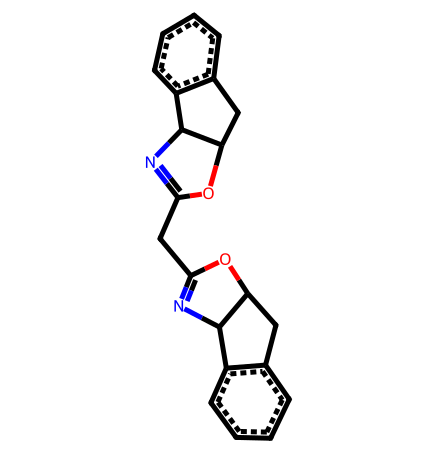 c1ccc2c(c1)CC1OC(CC3=NC4c5ccccc5CC4O3)=NC21